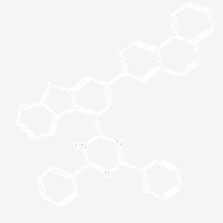 c1ccc(C2=NC(c3cc(-c4ccc5c(ccc6ccccc65)c4)cc4oc5ccccc5c34)NC(c3ccccc3)=N2)cc1